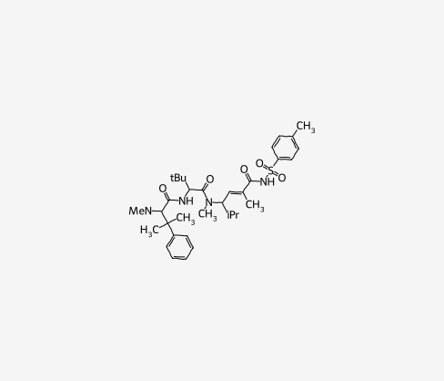 CNC(C(=O)NC(C(=O)N(C)C(/C=C(\C)C(=O)NS(=O)(=O)c1ccc(C)cc1)C(C)C)C(C)(C)C)C(C)(C)c1ccccc1